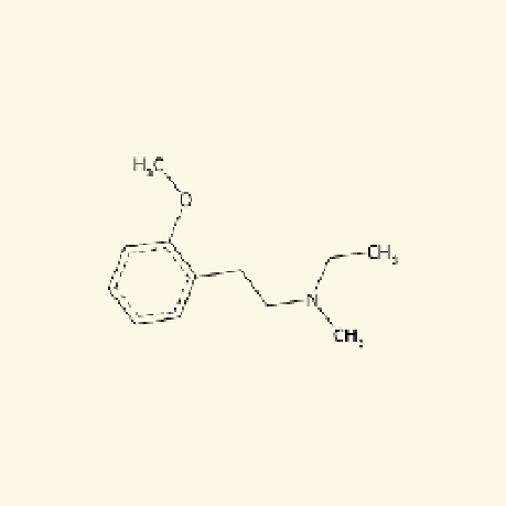 CCN(C)CCc1ccccc1OC